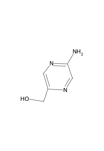 Nc1cnc(CO)cn1